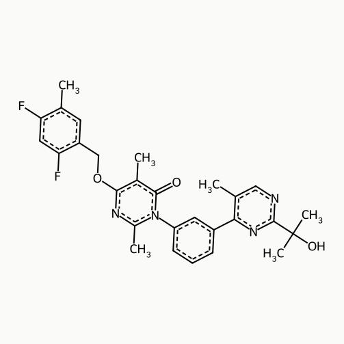 Cc1cc(COc2nc(C)n(-c3cccc(-c4nc(C(C)(C)O)ncc4C)c3)c(=O)c2C)c(F)cc1F